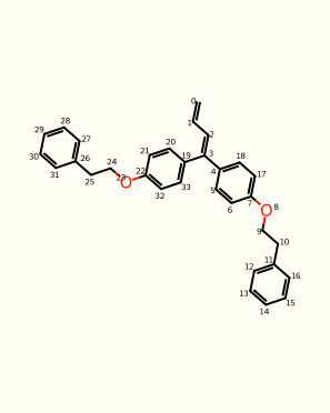 C=CC=C(c1ccc(OCCc2ccccc2)cc1)c1ccc(OCCc2ccccc2)cc1